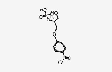 O=[N+]([O-])c1ccc(OCC(CO)OP(=O)(O)O)cc1